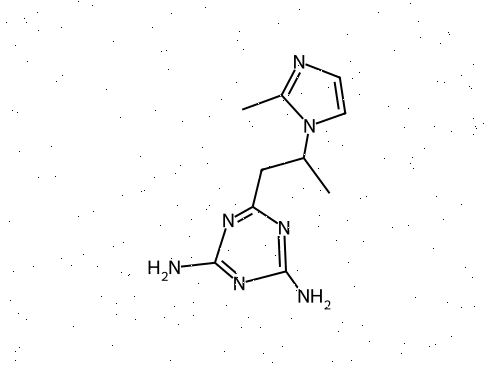 Cc1nccn1C(C)Cc1nc(N)nc(N)n1